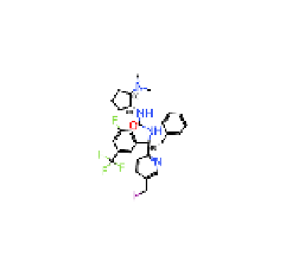 CN(C)[C@@H]1CCC[C@H]1NC(=O)N[C@](Cc1ccccc1)(c1cc(F)cc(C(F)(F)F)c1)c1ccc(CI)cn1